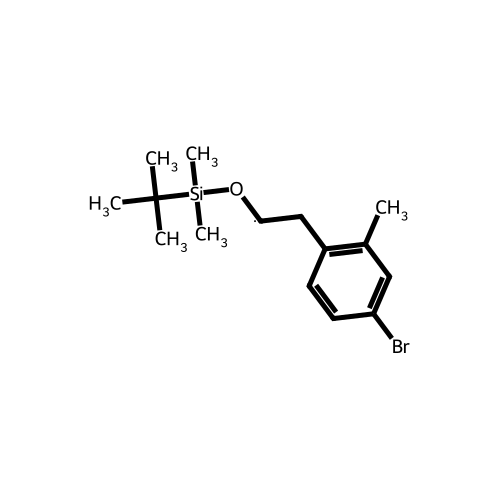 Cc1cc(Br)ccc1C[CH]O[Si](C)(C)C(C)(C)C